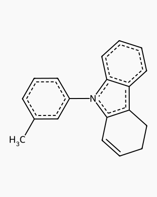 Cc1cccc(-n2c3c(c4ccccc42)CCC=C3)c1